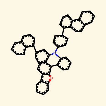 c1cc(-c2cccc3ccccc23)cc(N(c2ccc(-c3cccc4c3ccc3ccccc34)cc2)c2ccccc2-c2cccc3c2oc2ccccc23)c1